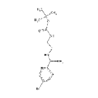 CC(NCCNC(=O)OC(C)(C)C)c1ccc(Br)cn1